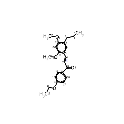 CCCc1cc(/C=C/C(=O)c2ccc(OCC)cc2)c(OC)cc1OC